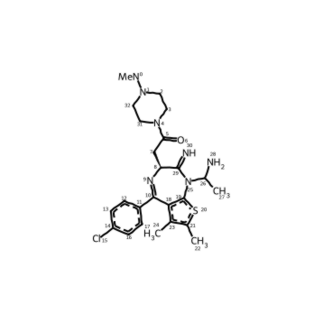 CNN1CCN(C(=O)C[C@@H]2N=C(c3ccc(Cl)cc3)c3c(sc(C)c3C)N(C(C)N)C2=N)CC1